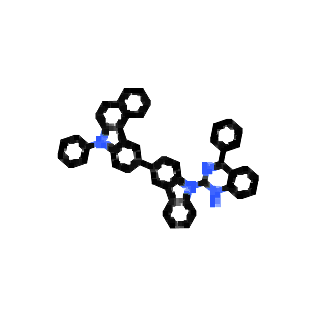 c1ccc(C2=NC(n3c4ccccc4c4cc(-c5ccc6c(c5)c5c7ccccc7ccc5n6-c5ccccc5)ccc43)Nc3ccccc32)cc1